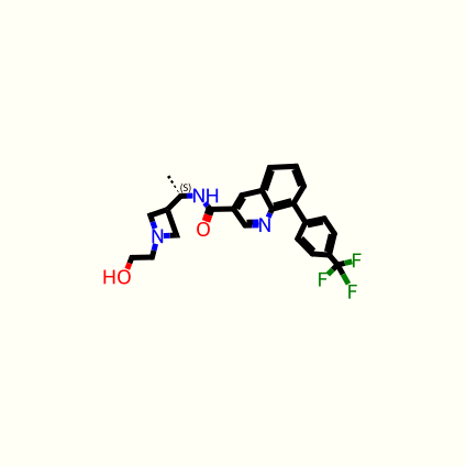 C[C@H](NC(=O)c1cnc2c(-c3ccc(C(F)(F)F)cc3)cccc2c1)C1CN(CCO)C1